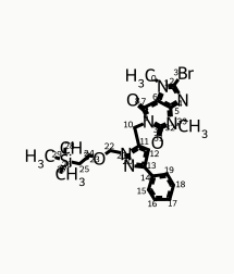 Cn1c(Br)nc2c1c(=O)n(Cc1cc(-c3ccccc3)nn1COCC[Si](C)(C)C)c(=O)n2C